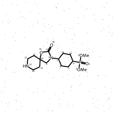 COP(=O)(OC)C1CCC(N2CC3(CCNCC3)OC2=O)CC1